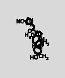 C[C@@H]1[C@]23CC[C@H]4[C@@H]5CC[C@H](C(=O)Cn6cc(C#N)cn6)[C@@]5(C)CC[C@@H]4[C@]12CC[C@@](C)(O)C3